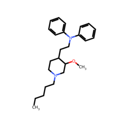 CCCCCN1CCC(CCN(c2ccccc2)c2ccccc2)C(OC)C1